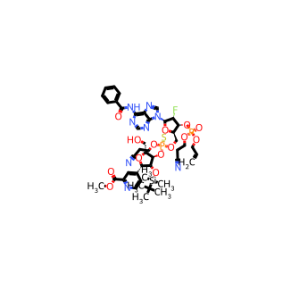 C=CCOP(=O)(OCCC#N)O[C@H]1[C@@H](F)[C@H](n2cnc3c(NC(=O)c4ccccc4)ncnc32)O[C@@H]1COP(=S)(OCCC#N)O[C@H]1C(O[Si](C)(C)C(C)(C)C)[C@H](c2ccnc(C(=O)OC)c2)O[C@@H]1CO